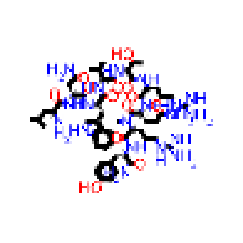 CC(C)C[C@H](N)C(=O)N[C@@H](CC(N)=O)C(=O)N[C@@H](Cc1c[nH]c2ccccc12)C(=O)N[C@H](C(=O)NC(C(=O)N[C@@H](CCCNC(=N)N)C(=O)N[C@@H](CCC(N)=O)C(=O)N(C)[C@@H](CCCNC(=N)N)C(=O)N[C@@H](Cc1ccc(O)cc1)C(N)=O)C(C)O)C(C)C